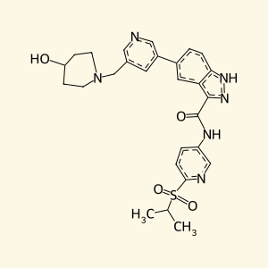 CC(C)S(=O)(=O)c1ccc(NC(=O)c2n[nH]c3ccc(-c4cncc(CN5CCC(O)CC5)c4)cc23)cn1